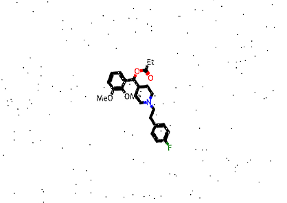 CCC(=O)OC(c1cccc(OC)c1OC)C1CCN(CCc2ccc(F)cc2)CC1